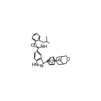 CC(C)[C@H](NC(=O)c1ccc2[nH]nc(-c3ccc(N4C5COCC4CC(O)C5)cc3)c2c1)c1ccccc1Cl